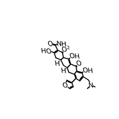 CN(C)Cc1cc(-c2ccoc2)c2c(c1O)C(=O)C1=C(O)C3C(=O)C(C(N)=O)=C(O)C[C@@H]3C[C@@H]1C2